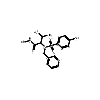 CC(C)C(C(=O)NO)N(Cc1cccnc1)S(=O)(=O)c1ccc(O)cc1